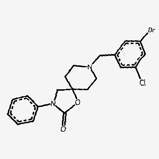 O=C1OC2(CCN(Cc3cc(Cl)cc(Br)c3)CC2)CN1c1ccccc1